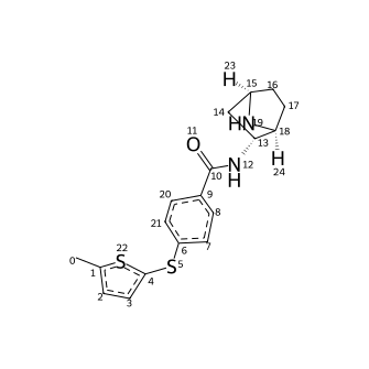 Cc1ccc(Sc2ccc(C(=O)N[C@@H]3C[C@H]4CC[C@@H]3N4)cc2)s1